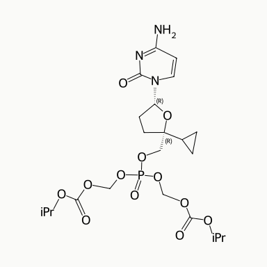 CC(C)OC(=O)OCOP(=O)(OCOC(=O)OC(C)C)OC[C@]1(C2CC2)CC[C@H](n2ccc(N)nc2=O)O1